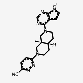 C[C@]12CN(c3ccc(C#N)nn3)CC[C@H]1CCN(c1ncnc3[nH]ccc13)C2